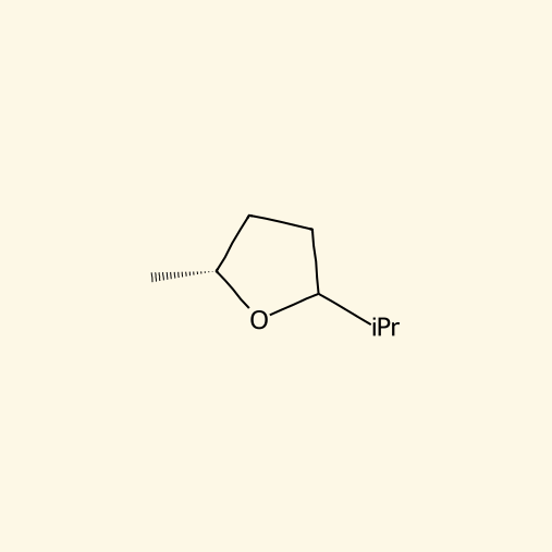 CC(C)C1CC[C@@H](C)O1